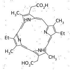 CCC1=C(C)c2cc3[nH]c(cc4nc(cc5[nH]c(cc1n2)c(C)c5CC(=O)O)C(C)=C4CC)c(C)c3CC(=O)O